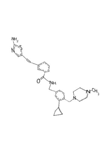 CN1CCN(Cc2ccc(CNC(=O)c3cccc(C#Cc4cnc(N)s4)c3)cc2C2CC2)CC1